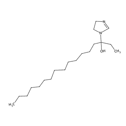 CCCCCCCCCCCCCCC(O)(CC)N1C=NCC1